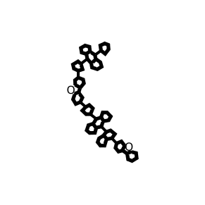 c1ccc(-c2c3ccccc3c(-c3cccc(-c4ccc5c(c4)oc4ccc(-c6ccc(-c7c8ccccc8c(-c8ccc(-c9ccc%10c(c9)oc9ccccc9%10)c9ccccc89)c8ccccc78)cc6)cc45)c3)c3ccccc23)cc1